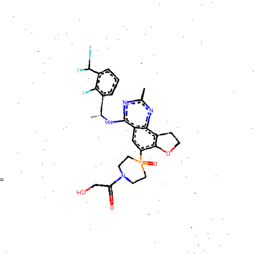 Cc1nc(N[C@H](C)c2cccc(C(F)F)c2F)c2cc(P3(=O)CCN(C(=O)CO)CC3)c3c(c2n1)CCO3